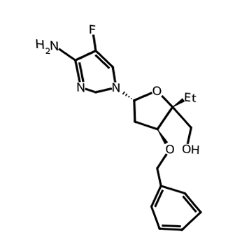 CC[C@]1(CO)O[C@@H](N2C=C(F)C(N)=NC2)C[C@@H]1OCc1ccccc1